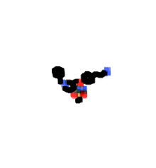 CCS(=O)(=O)N[C@@H]1CCN(Cc2ccccc2)C[C@H]1COc1ccc(CCC#N)cc1